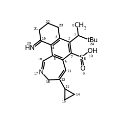 CC(c1c2c(c3c(c1S(=O)O)C=C(C1CC1)CN=C3)C(=N)CCC2)C(C)(C)C